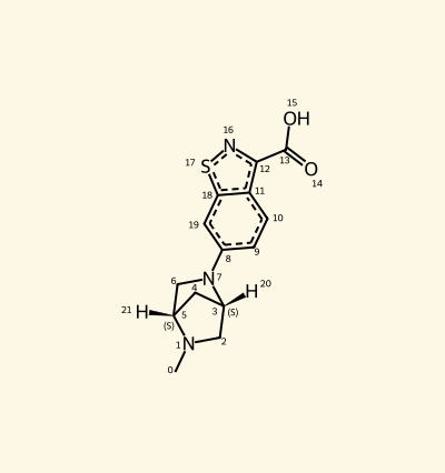 CN1C[C@@H]2C[C@H]1CN2c1ccc2c(C(=O)O)nsc2c1